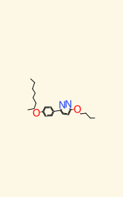 CCCCCCC(C)Oc1ccc(-c2ccc(OCCCC)nn2)cc1